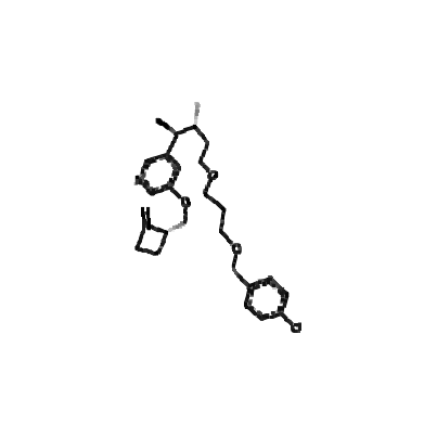 C[C@H](CCOCCCOCc1ccc(Cl)cc1)[C@H](C)c1cncc(OC[C@@H]2CCN2)c1